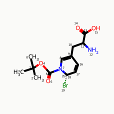 CC(C)(C)OC(=O)N1C=C(CC(N)C(=O)O)C=C[C@@H]1Br